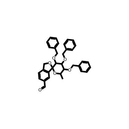 CC1OC2(OCc3ccc(C=O)cc32)C(OCc2ccccc2)C(OCc2ccccc2)C1OCc1ccccc1